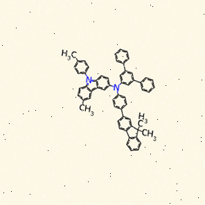 Cc1ccc(-n2c3ccc(C)cc3c3cc(N(c4ccc(-c5ccc6c(c5)C(C)(C)c5ccccc5-6)cc4)c4cc(-c5ccccc5)cc(-c5ccccc5)c4)ccc32)cc1